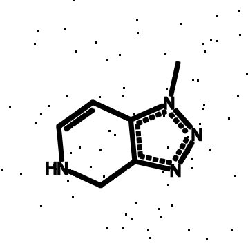 Cn1nnc2c1C=CNC2